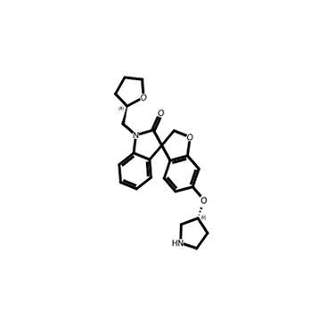 O=C1N(C[C@H]2CCCO2)c2ccccc2C12COc1cc(O[C@@H]3CCNC3)ccc12